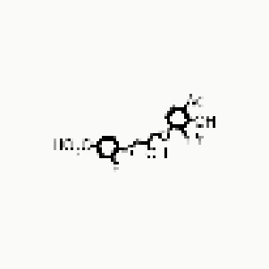 CCCc1c(OCC(O)CSc2ccc(C(=O)O)cc2F)ccc(C(C)=O)c1O